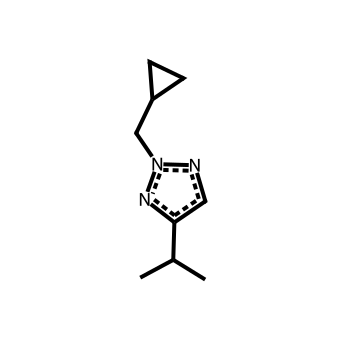 CC(C)c1cnn(CC2CC2)n1